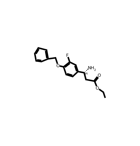 CCOC(=O)C[C@@H](N)c1ccc(OCc2ccccc2)c(F)c1